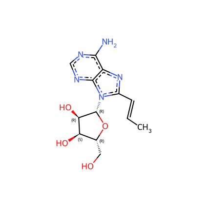 CC=Cc1nc2c(N)ncnc2n1[C@@H]1O[C@H](CO)[C@@H](O)[C@H]1O